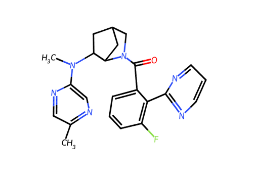 Cc1cnc(N(C)C2CC3CC2N(C(=O)c2cccc(F)c2-c2ncccn2)C3)cn1